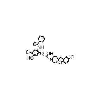 O=C(Nc1cc(Cl)c(O)cc1OC[C@H](O)CN1CCC2(CC1)Cc1cc(Cl)ccc1O2)c1ccccc1